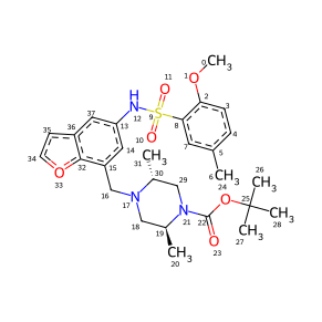 COc1ccc(C)cc1S(=O)(=O)Nc1cc(CN2C[C@H](C)N(C(=O)OC(C)(C)C)C[C@H]2C)c2occc2c1